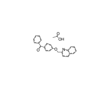 CC(=O)O.O=C(c1ccccc1)c1ccc(OCc2ccc3ccccc3n2)cc1